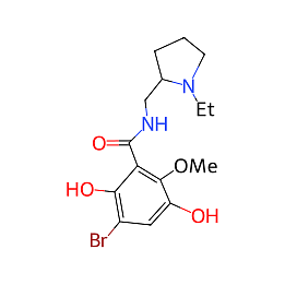 CCN1CCCC1CNC(=O)c1c(O)c(Br)cc(O)c1OC